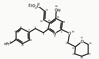 CCCc1ccc(CCc2nc(OCC3CCCCO3)cc(O)c2/C=C/C(=O)OCC)cc1